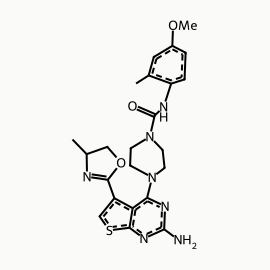 COc1ccc(NC(=O)N2CCN(c3nc(N)nc4scc(C5=NC(C)CO5)c34)CC2)c(C)c1